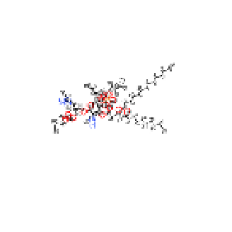 CCCCCCCCCCCCCC(=O)O[C@H](CCCCCCCCCCC)CC(=O)OC1C(NC)C(OCC(CO)(CNCC)COCCCC)OC(COCCCC)C1OP(=O)(OCCCC)OCCCC